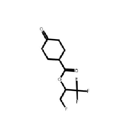 O=C1CCC(C(=O)OC(CF)C(F)(F)F)CC1